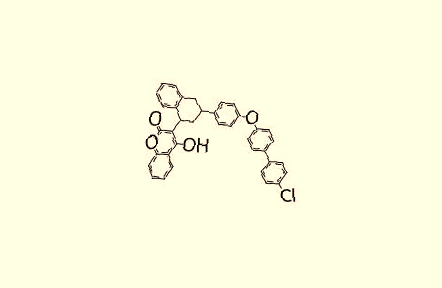 O=c1oc2ccccc2c(O)c1C1CC(c2ccc(Oc3ccc(-c4ccc(Cl)cc4)cc3)cc2)Cc2ccccc21